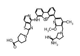 COc1nc(-c2cccc(-c3cccc(Nc4nccc5sc(CN6CCC(C(=O)O)CC6)nc45)c3Cl)c2Cl)cc(C)c1CN1CCC(C(=N)N)C1